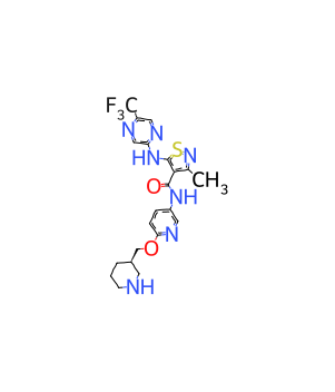 Cc1nsc(Nc2cnc(C(F)(F)F)cn2)c1C(=O)Nc1ccc(OC[C@@H]2CCCNC2)nc1